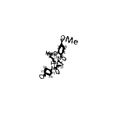 COc1ccc(C(=O)N=c2scc(C(=O)Nc3ccc(Cl)cc3)n2CCCN)c(OC)c1